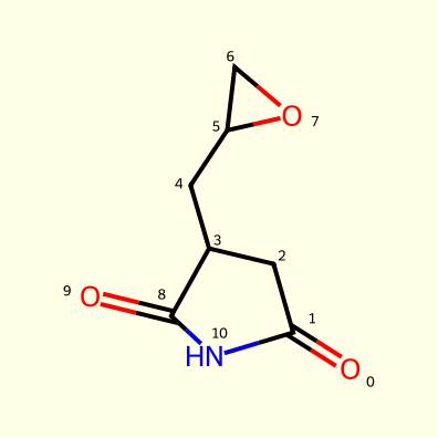 O=C1CC(CC2CO2)C(=O)N1